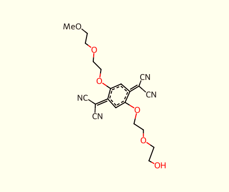 COCCOCCOc1cc(=C(C#N)C#N)c(OCCOCCO)cc1=C(C#N)C#N